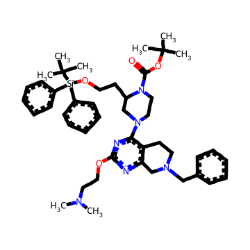 CN(C)CCOc1nc2c(c(N3CCN(C(=O)OC(C)(C)C)C(CCO[Si](c4ccccc4)(c4ccccc4)C(C)(C)C)C3)n1)CCN(Cc1ccccc1)C2